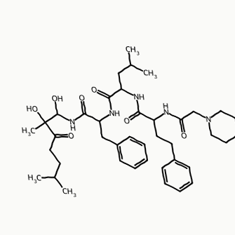 CC(C)CCC(=O)C(C)(O)C(O)NC(=O)C(Cc1ccccc1)NC(=O)C(CC(C)C)NC(=O)C(CCc1ccccc1)NC(=O)CN1CCOCC1